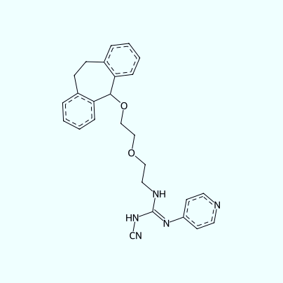 N#CN/C(=N/c1ccncc1)NCCOCCOC1c2ccccc2CCc2ccccc21